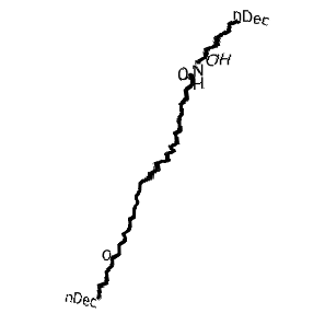 CCCCCCCCCCCCCCCCC(O)CNC(=O)CCCCCCCCCCCCCCCCCCCCCCCCCCCCCC(=O)CCCCCCCCCCCCCCC